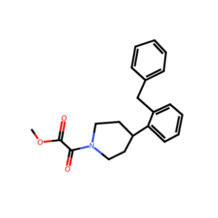 COC(=O)C(=O)N1CCC(c2ccccc2Cc2ccccc2)CC1